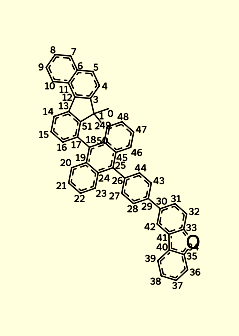 CC1(C)c2ccc3ccccc3c2-c2cccc(-c3c4ccccc4c(-c4ccc(-c5ccc6oc7ccccc7c6c5)cc4)c4ccccc34)c21